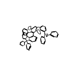 c1ccc(N(c2ccccc2)c2cccc3c2oc2c(-c4cccc5c4-c4ccccc4C5(c4ccccc4)c4ccccc4)c4c(cc23)oc2ccccc24)cc1